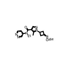 CCN(C(=O)c1cnn(C2CC(=NOC)C2)c1C)c1ccnnc1